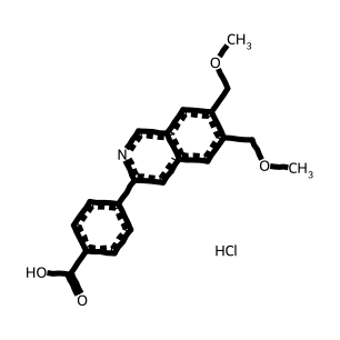 COCc1cc2cnc(-c3ccc(C(=O)O)cc3)cc2cc1COC.Cl